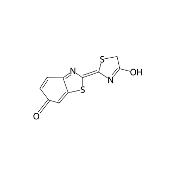 O=C1C=Cc2n/c(=C3/N=C(O)CS3)sc2=C1